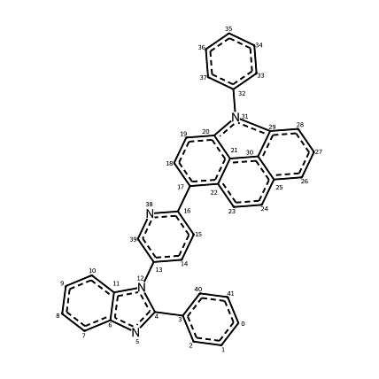 c1ccc(-c2nc3ccccc3n2-c2ccc(-c3ccc4c5c3ccc3cccc(c35)n4-c3ccccc3)nc2)cc1